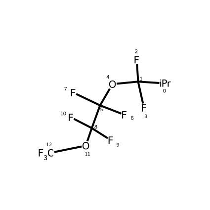 CC(C)C(F)(F)OC(F)(F)C(F)(F)OC(F)(F)F